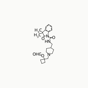 CC1(C)C(=O)N(C(=O)NCC2CCN(CC3(OC=O)CCC3)CC2)c2ccccc21